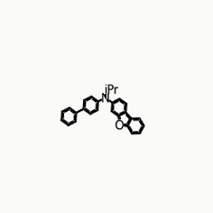 CC(C)N(c1ccc(-c2ccccc2)cc1)c1ccc2c(c1)oc1ccccc12